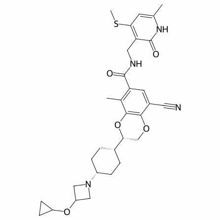 CSc1cc(C)[nH]c(=O)c1CNC(=O)c1cc(C#N)c2c(c1C)O[C@@H]([C@H]1CC[C@@H](N3CC(OC4CC4)C3)CC1)CO2